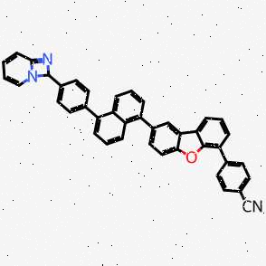 N#Cc1ccc(-c2cccc3c2oc2ccc(-c4cccc5c(-c6ccc(C7N=C8C=CC=CN87)cc6)cccc45)cc23)cc1